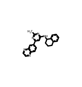 Cc1nc(NC2CCCc3ccccc32)cc(-c2ccc3nccnc3c2)n1